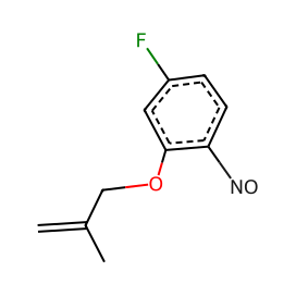 C=C(C)COc1cc(F)ccc1N=O